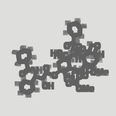 COC(=O)O[C@H]1C(=O)[C@]2(C)[C@@H](OC)C[C@H]3OC[C@@]3(OC(C)=O)[C@H]2[C@]2(OC(=O)c3ccccc3)C[C@@]3(C)C1=C(C)[C@@H](OC(=O)[C@H](O)[C@@H](NC(=O)c1ccccc1)c1ccccc1)C[C@]32O